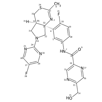 CC1=N[C@@]2(c3cc(NC(=O)c4cnc(CO)cn4)ccc3F)CN(c3ncc(F)cn3)C[C@H]2CS1